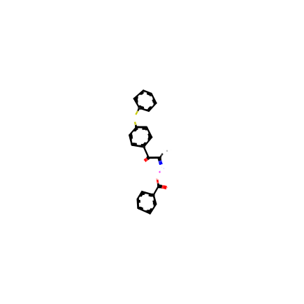 CCCCC(=NOC(=O)c1ccccc1)C(=O)c1ccc(Sc2ccccc2)cc1